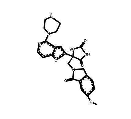 COc1ccc2c(c1)C(=O)N(C[C@@]1(c3cc4c(N5CCNCC5)nccc4o3)NC(=O)NC1=O)C2